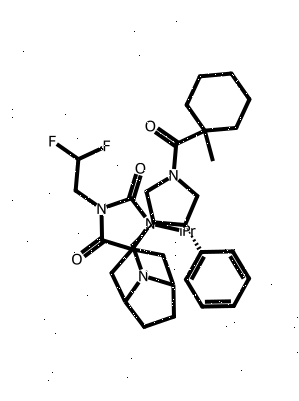 CC(C)N1C(=O)N(CC(F)F)C(=O)C12CC1CCC(C2)N1C[C@H]1CN(C(=O)C2(C)CCCCC2)C[C@@H]1c1ccccc1